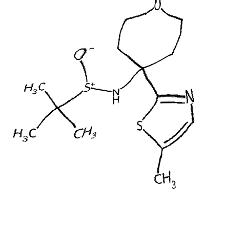 Cc1cnc(C2(N[S+]([O-])C(C)(C)C)CCOCC2)s1